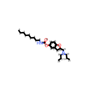 CCCCCCCCCNC(=O)Oc1ccc2c(c1)CC(CN(CCC)CCC)O2